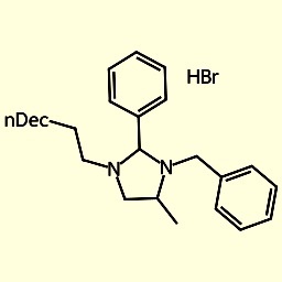 Br.CCCCCCCCCCCCN1CC(C)N(Cc2ccccc2)C1c1ccccc1